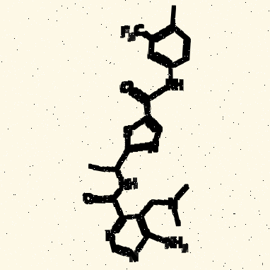 Cc1ccc(NC(=O)c2cnc(C(C)NC(=O)c3ncnc(N)c3CN(C)C)s2)cc1C(F)(F)F